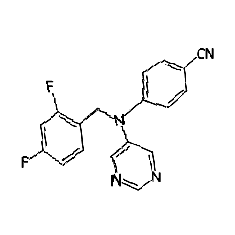 N#Cc1ccc(N(Cc2ccc(F)cc2F)c2cncnc2)cc1